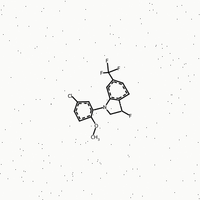 COc1ccc(Cl)cc1N1CC(F)c2ccc(C(F)(F)F)cc21